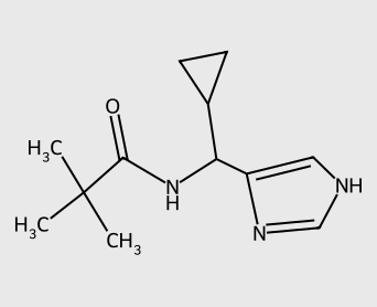 CC(C)(C)C(=O)NC(c1c[nH]cn1)C1CC1